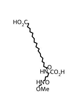 COCCNC(=O)CC[C@H](NC(=O)CCCCCCCCCCCCCCCCCCC(=O)O)C(=O)O